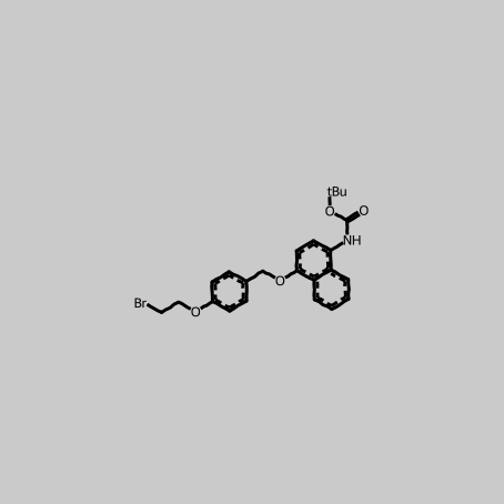 CC(C)(C)OC(=O)Nc1ccc(OCc2ccc(OCCBr)cc2)c2ccccc12